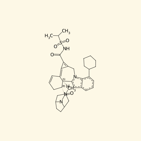 CC(C)S(=O)(=O)NC(=O)C1=C2Cn3c(cc4cccc(C5CCCCC5)c43)[C@@H]3C(=C21)C=CC[C@H]3C(=O)N1C2CCC1CN(C)C2